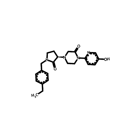 CCc1ccc(CN2CC[C@@H](N3CCN(c4ccc(O)cn4)C(=O)C3)C2=O)cc1